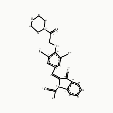 CC(=O)N1C(=Cc2cc(F)c(OCC(=O)N3CCOCC3)c(F)c2)C(=O)c2ccccc21